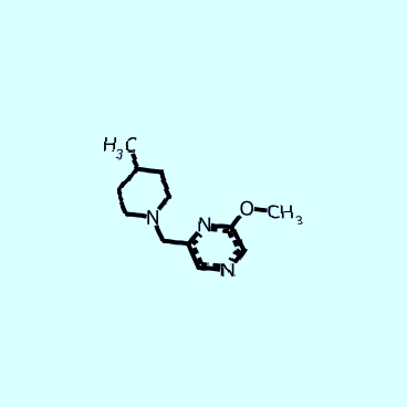 COc1cncc(CN2CCC(C)CC2)n1